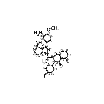 COc1ccc(-c2nn(C(C)c3oc4cccc(F)c4c(=O)c3-c3ccc(F)cc3)c3ncnc(N)c23)cc1N